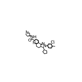 Cc1ccc(N2N=C3c4ccc(C(=O)N[C@H]5CCN(C)C5)nc4CCC3C2C2CCCC2)cc1Cl